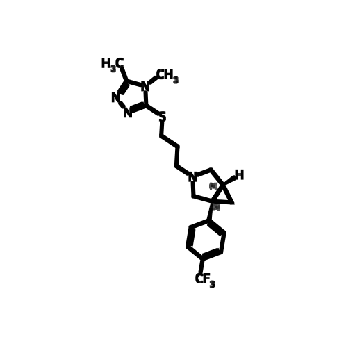 Cc1nnc(SCCCN2C[C@@H]3C[C@]3(c3ccc(C(F)(F)F)cc3)C2)n1C